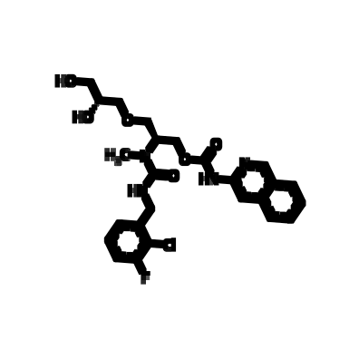 CN(C(=O)NCc1cccc(F)c1Cl)[C@@H](COC[C@H](O)CO)COC(=O)Nc1cc2ccccc2cn1